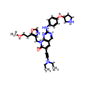 CCN(C#Cc1cc2cnc(Nc3ccc(OC4CCNC4)cc3)nc2n(Cc2ncoc2CCOC)c1=O)CC